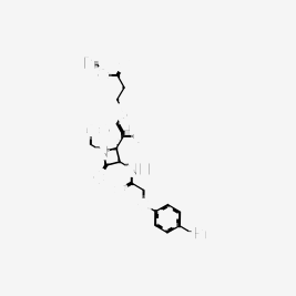 CC(=CSCCC(=O)OC(C)C)C1C(NC(=O)COc2ccc(C(C)C)cc2)C(=O)N1CC(=O)O